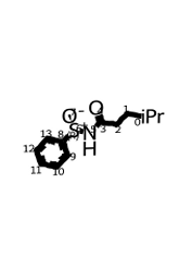 CC(C)CCC(=O)N[S@@+]([O-])c1ccccc1